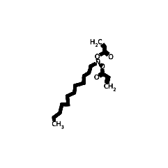 C=CC(=O)ON(CCCCCCCCCCCC)OC(=O)C=C